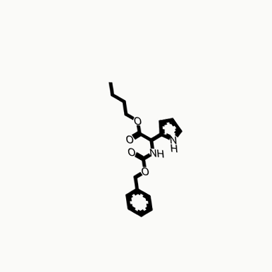 CCCCOC(=O)C(NC(=O)OCc1ccccc1)c1ccc[nH]1